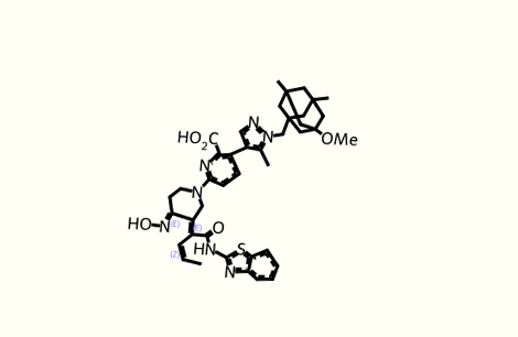 C\C=C/C(C(=O)Nc1nc2ccccc2s1)=C1/CN(c2ccc(-c3cnn(CC45CC6(C)CC(C)(C4)CC(OC)(C6)C5)c3C)c(C(=O)O)n2)CC/C1=N\O